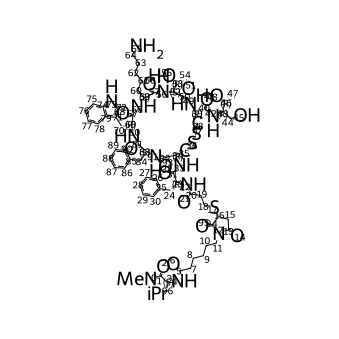 CNC(=O)[C@@H](NC(=O)CCCCCN1C(=O)CC(SCCC(=O)N[C@H](Cc2ccccc2)C(=O)N[C@H]2CSSC[C@@H](C(=O)N[C@H](CO)[C@@H](C)O)NC(=O)[C@H]([C@@H](C)O)NC(=O)[C@H](CCCCCN)NC(=O)[C@@H](Cc3c[nH]c4ccccc34)NC(=O)[C@H](Cc3ccccc3)NC2=O)C1=O)C(C)C